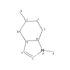 CC1CCC2C(C=CN2C)C1